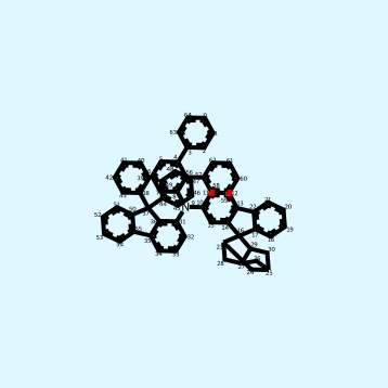 c1ccc(-c2cccc(N(c3ccc4c(c3)C3(c5ccccc5-4)C4CC5CC(C4)C3C5)c3cccc4c3C(c3ccccc3)(c3ccccc3)c3ccccc3-4)c2-c2ccccc2)cc1